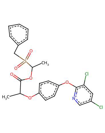 CC(Oc1ccc(Oc2ncc(Cl)cc2Cl)cc1)C(=O)OC(C)S(=O)(=O)Cc1ccccc1